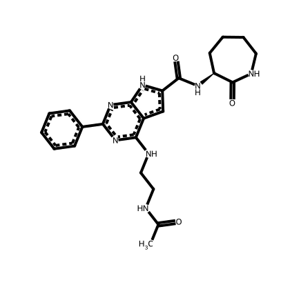 CC(=O)NCCNc1nc(-c2ccccc2)nc2[nH]c(C(=O)N[C@H]3CCCCNC3=O)cc12